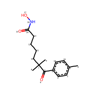 Cc1ccc(C(=O)C(C)(C)CCCCC(=O)NO)cc1